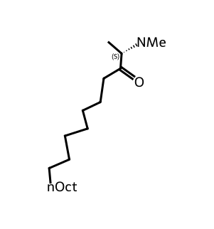 CCCCCCCCCCCCCCCC(=O)[C@H](C)NC